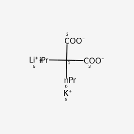 CCCC(C(=O)[O-])(C(=O)[O-])C(C)C.[K+].[Li+]